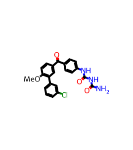 COc1ccc(C(=O)c2ccc(NC(=O)NC(N)=O)cc2)cc1-c1cccc(Cl)c1